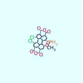 COc1cc2c3c(cc(Cl)c4c5c(Cl)cc6c7c(cc(OP)c(c1c34)c75)C(=O)OC6=O)C(=O)OC2=O